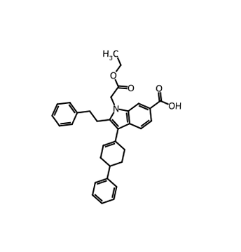 CCOC(=O)Cn1c(CCc2ccccc2)c(C2=CCC(c3ccccc3)CC2)c2ccc(C(=O)O)cc21